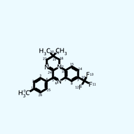 Cc1ccc(C2=Nc3cc(C(F)(F)F)ccc3N3CC(C)(C)CN=C23)cc1